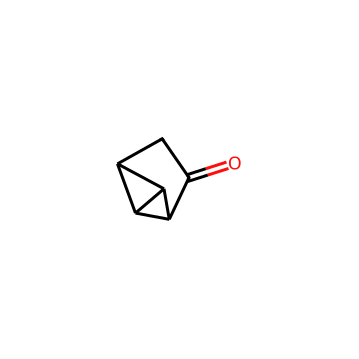 O=C1CC2C3C1C23